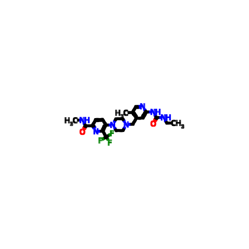 CCNC(=O)Nc1cc(CN2CCN(c3ccc(C(=O)NC)nc3C(F)(F)F)CC2)c(C)cn1